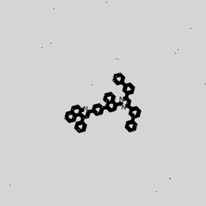 c1ccc(-c2cccc(-c3cc(-c4cccc(-c5ccccc5)c4)nc(-c4ccc(-c5ccc(-c6cc(-c7ccccc7)c7c(ccc8ccccc87)n6)cc5)c5ccccc45)n3)c2)cc1